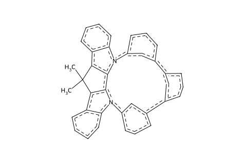 CC1(C)c2c3ccccc3n3c4cccc(c4)c4cccc(c4)c4cccc(c4)n4c5ccccc5c1c4c23